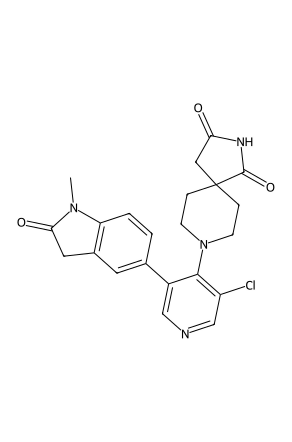 CN1C(=O)Cc2cc(-c3cncc(Cl)c3N3CCC4(CC3)CC(=O)NC4=O)ccc21